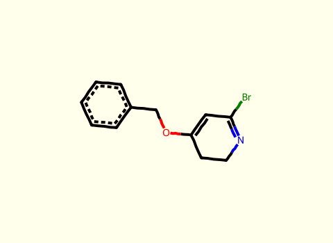 BrC1=NCCC(OCc2ccccc2)=C1